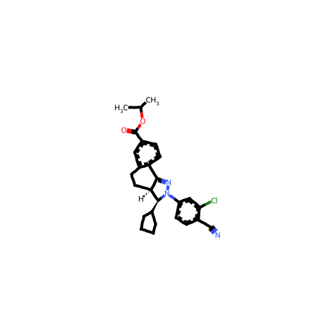 CC(C)OC(=O)c1ccc2c(c1)CC[C@H]1C2=NN(c2ccc(C#N)c(Cl)c2)[C@H]1C1CCCC1